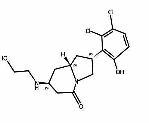 O=C1C[C@@H](NCCO)C[C@@H]2C[C@H](c3c(O)ccc(Cl)c3Cl)CN12